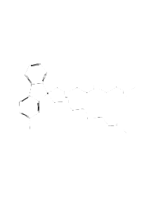 COCCOCCOCC1(COCCOCCOC)c2ccccc2-c2ccc(C)cc21